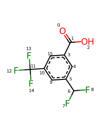 O=C(O)c1cc(C(F)F)cc(C(F)(F)F)c1